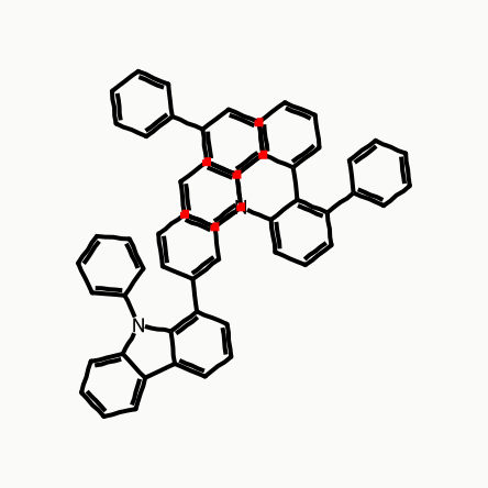 c1ccc(-c2cccc(N(c3cccc(-c4cccc5c6ccccc6n(-c6ccccc6)c45)c3)c3cccc(-c4ccccc4)c3-c3ccccc3-c3ccccc3)c2)cc1